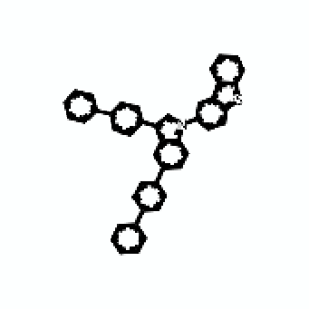 c1ccc(-c2ccc(-c3ccc4c(c3)c(-c3ccc(-c5ccccc5)cc3)cn4-c3ccc4sc5ccccc5c4c3)cc2)cc1